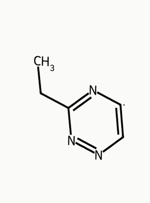 CCc1n[c]cnn1